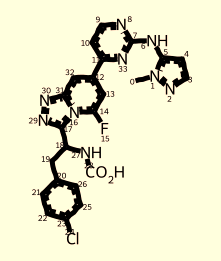 Cn1nccc1Nc1nccc(-c2cc(F)n3c(C(Cc4ccc(Cl)cc4)NC(=O)O)nnc3c2)n1